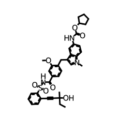 CCC(C)(O)C#Cc1ccccc1S(=O)(=O)NC(=O)c1ccc(Cc2cn(C)c3ccc(NC(=O)OC4CCCC4)cc23)c(OC)c1